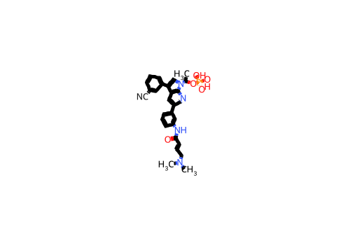 CC(OP(=O)(O)O)n1cc(-c2cccc(C#N)c2)c2cc(-c3cccc(NC(=O)C=CCN(C)C)c3)cnc21